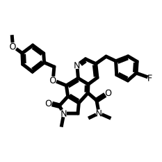 COc1ccc(COc2c3c(c(C(=O)N(C)C)c4cc(Cc5ccc(F)cc5)cnc24)CN(C)C3=O)cc1